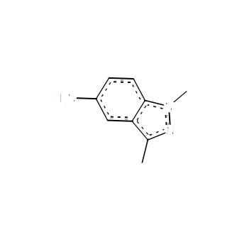 Cc1nn(C)c2ccc(N)cc12